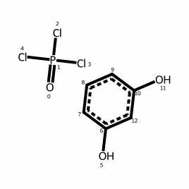 O=P(Cl)(Cl)Cl.Oc1cccc(O)c1